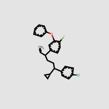 C=CC(CCC(c1ccc(Cl)cc1)C1CC1)c1ccc(F)c(Oc2ccccc2)c1